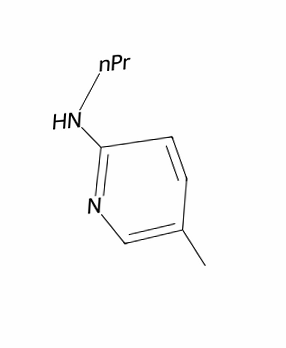 CCCNc1ccc(C)cn1